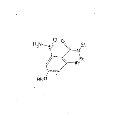 CCN(CC)C(=O)c1c(C(C)C)cc(OC)cc1[S+](N)[O-]